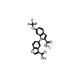 NC(=O)c1cc2ccc(OC(F)(F)F)cc2n1-c1ccc2occ(C(=O)O)c2c1